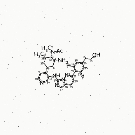 CC(=O)N(C)[C@@H]1[C@H](N)C[C@H](c2ccncc2Nc2ncc3ccc(-c4c(F)cc(CCO)cc4F)nn23)C[C@@H]1C